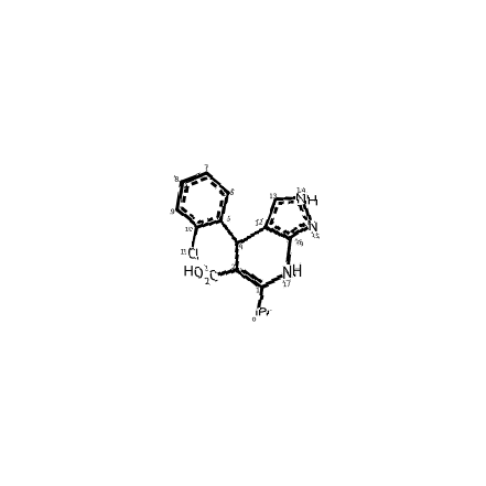 CC(C)C1=C(C(=O)O)C(c2ccccc2Cl)c2c[nH]nc2N1